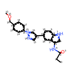 CCC(=O)Nc1c[nH]c2ccc(-c3cnn(-c4ccc(COC)cc4)c3)cc12